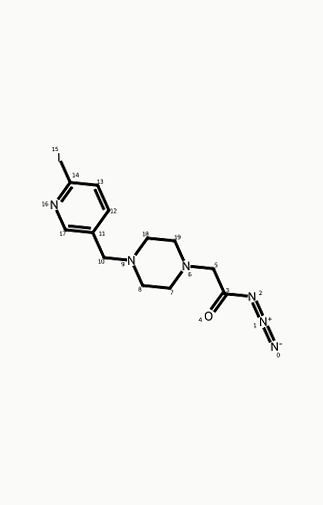 [N-]=[N+]=NC(=O)CN1CCN(Cc2ccc(I)nc2)CC1